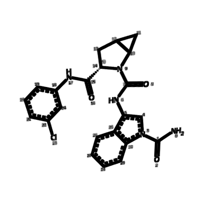 NC(=O)n1cc(NC(=O)N2C3CC3C[C@H]2C(=O)Nc2cccc(Cl)c2)c2ccccc21